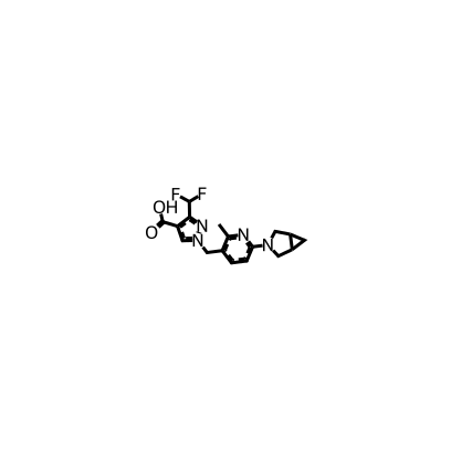 Cc1nc(N2CC3CC3C2)ccc1Cn1cc(C(=O)O)c(C(F)F)n1